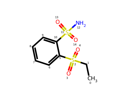 CCS(=O)(=O)c1ccccc1S(N)(=O)=O